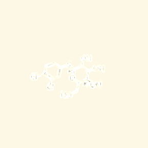 OCC1O[C@H](Sc2ccc(Cl)c(Cl)c2)C(O)C(O)[C@H]1O